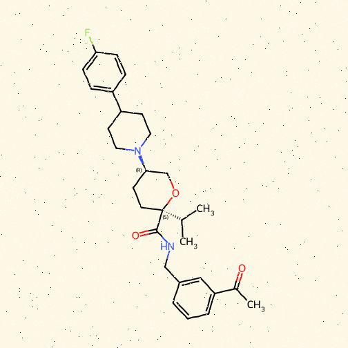 CC(=O)c1cccc(CNC(=O)[C@@]2(C(C)C)CC[C@@H](N3CCC(c4ccc(F)cc4)CC3)CO2)c1